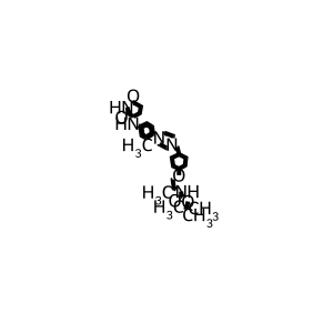 Cc1cc(NC2CCC(=O)NC2=O)ccc1N1CCN(CC2CCC(OC[C@@H](C)NC(=O)OC(C)(C)C)CC2)CC1